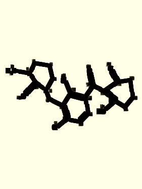 CN1CCCN(Cc2c(Cl)ccc(C(=O)C3=C(O)CCCC3=O)c2Cl)C1=O